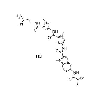 C=C(Br)C(=O)Nc1ccc2c(c1)cc(C(=O)Nc1cc(C(=O)Nc3cc(C(=O)NCCC(=N)N)n(C)c3)n(C)c1)n2C.Cl